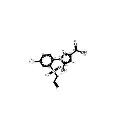 C=CCS(=O)(=O)c1cc(O)ccc1-n1nc(C(=O)O)cc1O